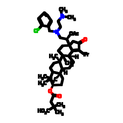 CC(=O)O[C@H](CN(CCN(C)C)Cc1ccccc1Cl)C12CC[C@]3(C)[C@H](CC[C@@H]4[C@@]5(C)CC[C@H](OC(=O)CC(C)(C)C(=O)O)C(C)(C)C5CC[C@]43C)C1=C(C(C)C)C(=O)C2